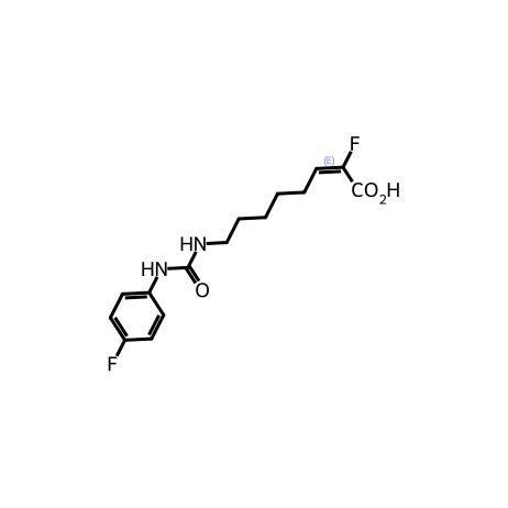 O=C(NCCCCC/C=C(/F)C(=O)O)Nc1ccc(F)cc1